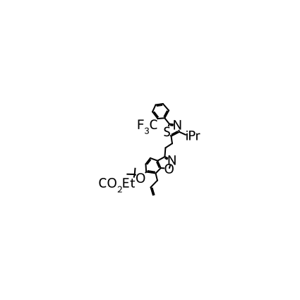 C=CCc1c(OC(C)(C)C(=O)OCC)ccc2c(CCc3sc(-c4ccccc4C(F)(F)F)nc3C(C)C)noc12